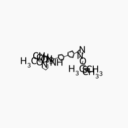 CC(C)(C)OC(=O)N1CCC[C@H]1c1ncc(-c2ccc(-c3ccc(-c4cncn4COCC[Si](C)(C)C)cc3)cc2)[nH]1